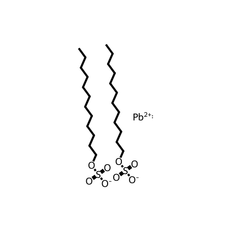 CCCCCCCCCCCCOS(=O)(=O)[O-].CCCCCCCCCCCCOS(=O)(=O)[O-].[Pb+2]